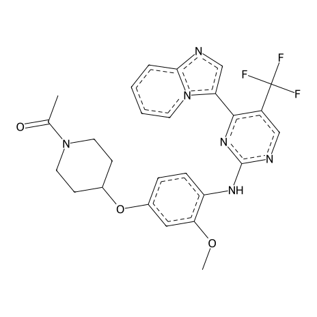 COc1cc(OC2CCN(C(C)=O)CC2)ccc1Nc1ncc(C(F)(F)F)c(-c2cnc3ccccn23)n1